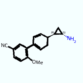 COc1ccc(C#N)cc1C1=CCC([C@H]2C[C@@H]2N)C=C1